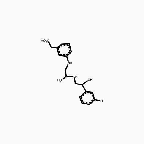 CC(CNc1cccc(CC(=O)O)c1)NCC(O)c1cccc(Cl)c1